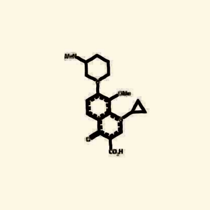 CNC1CCCN(c2ccc3c(=O)c(C(=O)O)cn(C4CC4)c3c2OC)C1